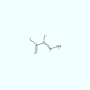 C=C(C)/C(C)=N/O